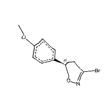 COc1ccc([C@H]2CC(Br)=NO2)cc1